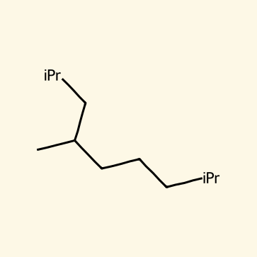 CC(C)CCCC(C)CC(C)C